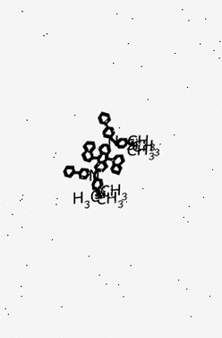 C[Si](C)(C)c1ccc(N(c2ccc(-c3ccccc3)cc2)c2ccc3c(-c4cccc5ccccc45)c4cc(N(c5ccc(-c6ccccc6)cc5)c5ccc([Si](C)(C)C)cc5)ccc4c(-c4cccc5ccccc45)c3c2)cc1